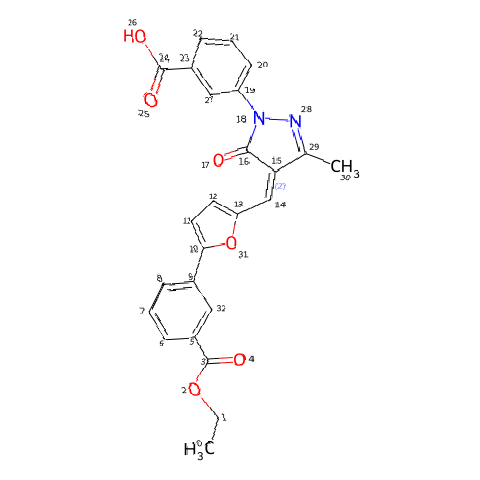 CCOC(=O)c1cccc(-c2ccc(/C=C3\C(=O)N(c4cccc(C(=O)O)c4)N=C3C)o2)c1